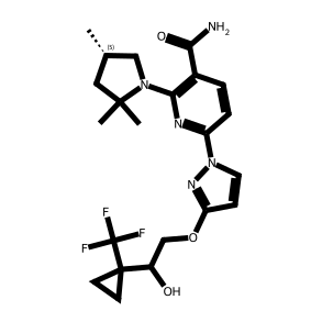 C[C@@H]1CN(c2nc(-n3ccc(OCC(O)C4(C(F)(F)F)CC4)n3)ccc2C(N)=O)C(C)(C)C1